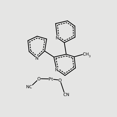 Cc1ccnc(-c2ccccn2)c1-c1ccccn1.N#C[O][Pt][O]C#N